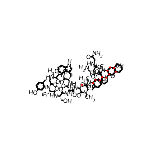 CCCCC[C@H](NC(=O)CNC(=O)[C@H](CO)NC(=O)[C@@H](NC(=O)[C@H](Cc1ccc(O)cc1)NC(=O)[C@H](C)N(C)C(=O)[C@@H](Cc1c[nH]c2ccccc12)NC(=O)CC)C(C)C)C(=O)N(C)[C@@H](Cc1ccccc1)C(=O)N(C)CC(=O)N[C@@H](Cc1ccc(O)cc1)C(=O)N(C)[C@@H](Cc1ccccc1)C(=O)N1CCC[C@H]1C(=O)N[C@@H](CN)C(=O)NCC(N)=O